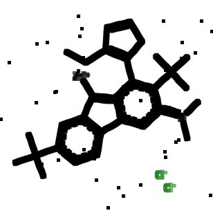 CCC1=C(c2c(C(C)(C)C)c(=[Si](C)C)cc3c2=[C]([Zr+2])c2cc(C(C)(C)C)ccc2-3)CC=C1.[Cl-].[Cl-]